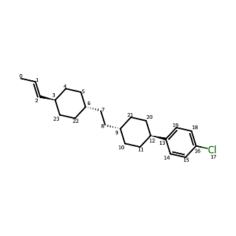 CC=C[C@H]1CC[C@H](CC[C@H]2CC[C@H](c3ccc(Cl)cc3)CC2)CC1